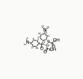 CN(C)c1ccc(P(=O)(c2ccc(N(C)C)cc2)C(CC(=O)O)C(=O)O)cc1